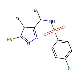 CCC(NS(=O)(=O)c1ccc(Cl)cc1)c1nnc(S)n1CC